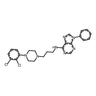 Clc1cccc(N2CCN(CCCNc3ncnc4c3ncn4-c3ccccc3)CC2)c1Cl